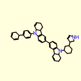 C1=CCC(c2ccc(N3c4ccc(-c5ccc6c(c5)C5C=CCCC5N6C5CCCC(C6C=CNC6)C5)cc4C4CCC=CC43)cc2)C=C1